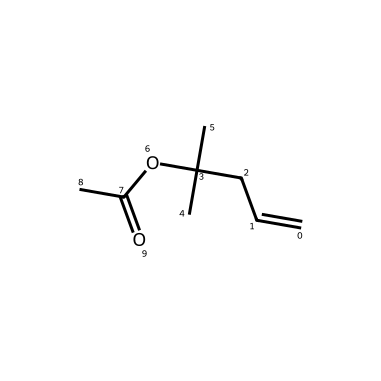 C=CCC(C)(C)OC(C)=O